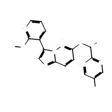 COc1ncccc1-c1cnc2ccc(N[C@@H](C)c3ncc(F)cn3)nn12